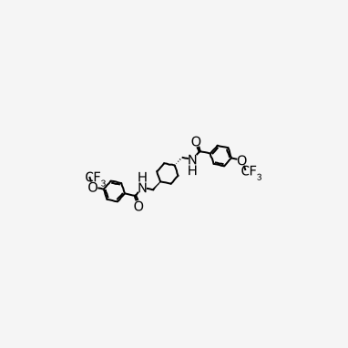 O=C(NC[C@H]1CC[C@H](CNC(=O)c2ccc(OC(F)(F)F)cc2)CC1)c1ccc(OC(F)(F)F)cc1